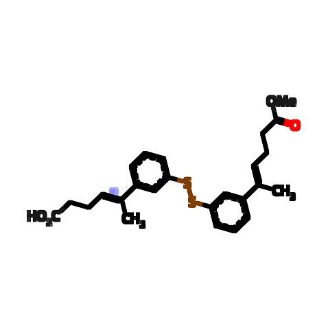 COC(=O)CCC=C(C)c1cccc(SSc2cccc(/C(C)=C/CCC(=O)O)c2)c1